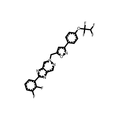 Fc1cccc(-c2nc3cnn(Cc4cc(-c5ccc(OC(F)(F)C(F)F)cc5)no4)cc-3n2)c1F